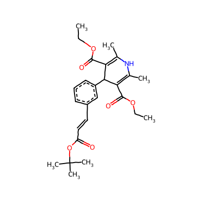 CCOC(=O)C1=C(C)NC(C)=C(C(=O)OCC)C1c1cccc(C=CC(=O)OC(C)(C)C)c1